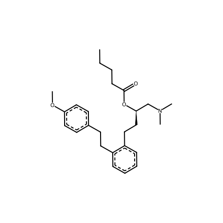 CCCCC(=O)O[C@H](CCc1ccccc1CCc1ccc(OC)cc1)CN(C)C